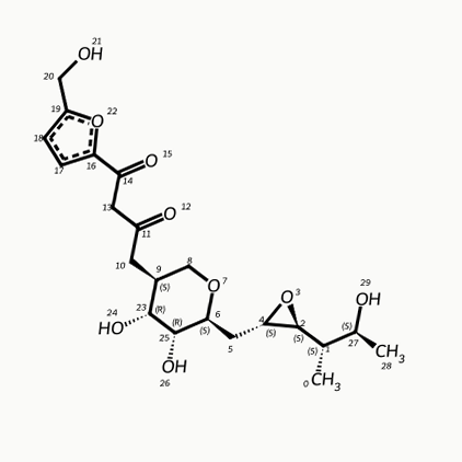 C[C@H]([C@@H]1O[C@H]1C[C@@H]1OC[C@H](CC(=O)CC(=O)c2ccc(CO)o2)[C@@H](O)[C@H]1O)[C@H](C)O